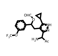 CC(=O)C(N)c1n[nH]c(C2CC2)c1CC(OC=O)c1cccc(OC(F)(F)F)c1